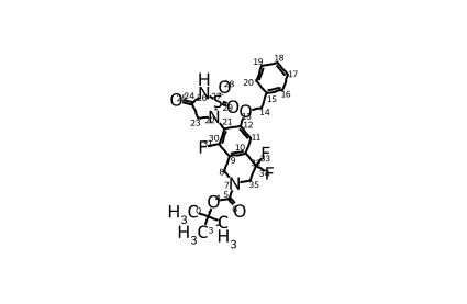 CC(C)(C)OC(=O)N1Cc2c(cc(OCc3ccccc3)c(N3CC(=O)NS3(=O)=O)c2F)C(F)(F)C1